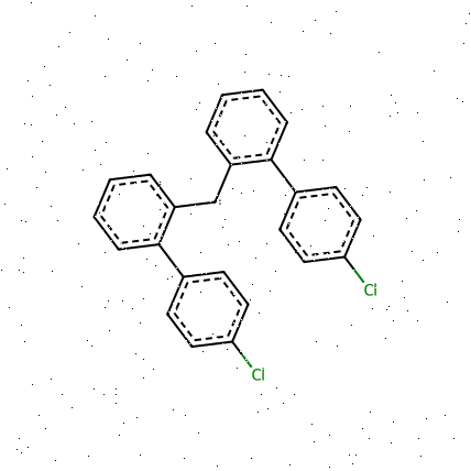 Clc1ccc(-c2ccccc2[C]c2ccccc2-c2ccc(Cl)cc2)cc1